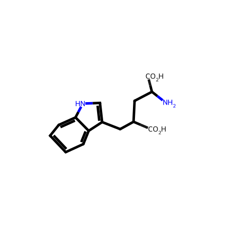 NC(CC(Cc1c[nH]c2ccccc12)C(=O)O)C(=O)O